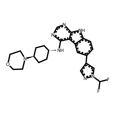 FC(F)n1cc(-c2ccc3[nH]c4ncnc(N[C@H]5CC[C@H](N6CCOCC6)CC5)c4c3c2)cn1